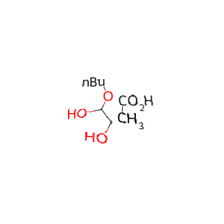 CC(=O)O.CCCCOC(O)CO